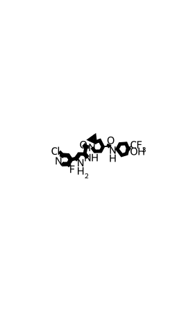 N=C(/C=C(\N)c1cc(Cl)ncc1F)C(=O)N1CC[C@H](C(=O)N[C@H]2CC[C@@](O)(C(F)(F)F)CC2)CC12CC2